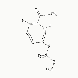 COC(=O)Oc1ccc(F)c(C(C)=O)c1F